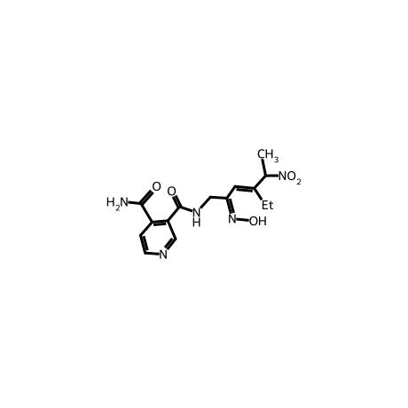 CCC(=CC(CNC(=O)c1cnccc1C(N)=O)=NO)C(C)[N+](=O)[O-]